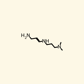 CN(C)CCCN/C=C/CN